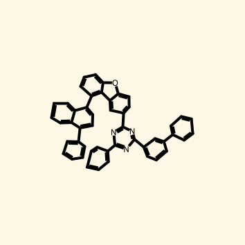 c1ccc(-c2cccc(-c3nc(-c4ccccc4)nc(-c4ccc5oc6cccc(-c7ccc(-c8ccccc8)c8ccccc78)c6c5c4)n3)c2)cc1